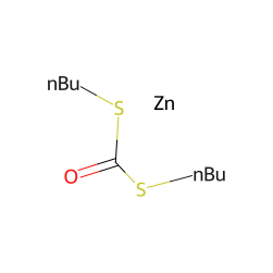 CCCCSC(=O)SCCCC.[Zn]